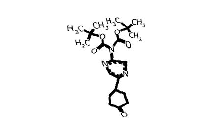 CC(C)(C)OC(=O)N(C(=O)OC(C)(C)C)c1cnc(C2CCC(=O)CC2)cn1